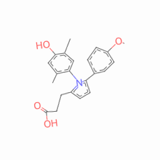 COc1ccc(-c2ccc(CCC(=O)O)n2-c2cc(C)c(O)cc2C)cc1